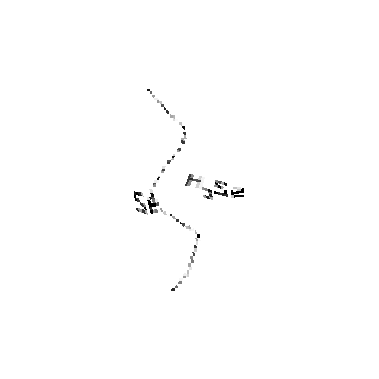 CC[Se]CC.[SeH2]